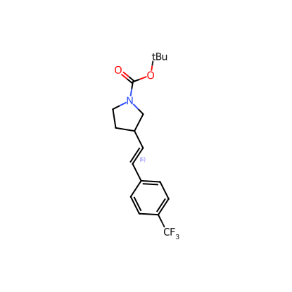 CC(C)(C)OC(=O)N1CCC(/C=C/c2ccc(C(F)(F)F)cc2)C1